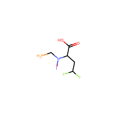 O=C(O)C(CC(F)F)N(I)CP